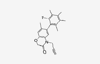 C#CCN1C(=O)COc2cc(C)c(-c3c(C)c(C)c(C)c(C)c3F)cc21